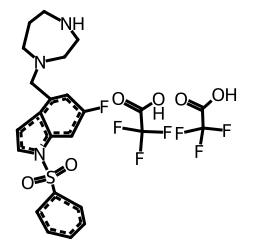 O=C(O)C(F)(F)F.O=C(O)C(F)(F)F.O=S(=O)(c1ccccc1)n1ccc2c(CN3CCCNCC3)cc(F)cc21